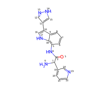 NC(C(=O)Nc1cccc2c(-c3cn[nH]c3)c[nH]c12)c1cccnc1